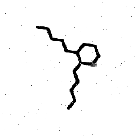 CCCCCC1CCCNC1CCCCC